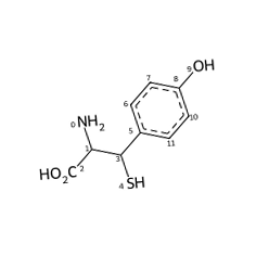 NC(C(=O)O)C(S)c1ccc(O)cc1